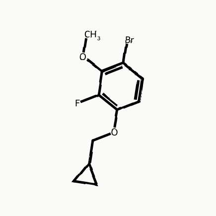 COc1c(Br)ccc(OCC2CC2)c1F